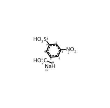 CC(=O)O.O=[N+]([O-])c1cccc(S(=O)(=O)O)c1.[NaH]